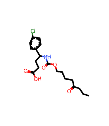 CCCC(=O)CCCCOC(=O)NC(CCC(=O)O)c1ccc(Cl)cc1